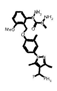 COc1cccc(N(N)C(=O)N(C)N)c1COc1ccc(-n2nc(C)c(C(F)P)c2C)cc1C